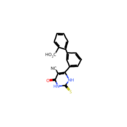 N#Cc1c(-c2cccc(-c3ccccc3C(=O)O)c2)[nH]c(=S)[nH]c1=O